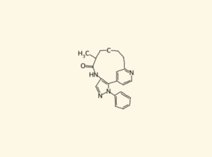 CC1CCCCc2cc(ccn2)-c2c(cnn2-c2ccccc2)NC1=O